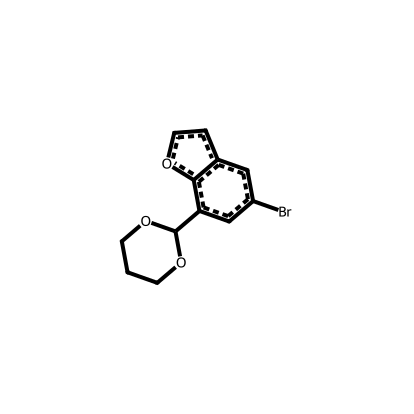 Brc1cc(C2OCCCO2)c2occc2c1